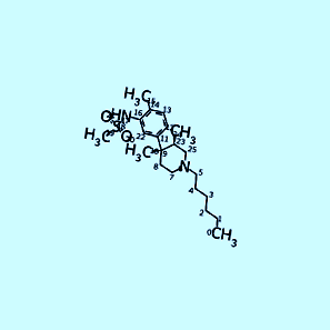 CCCCCCN1CC[C@](C)(c2ccc(C)c(NS(C)(=O)=O)c2)[C@@H](C)C1